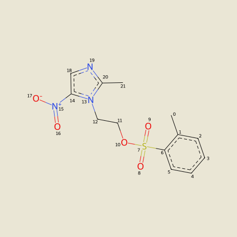 Cc1ccccc1S(=O)(=O)OCCn1c([N+](=O)[O-])cnc1C